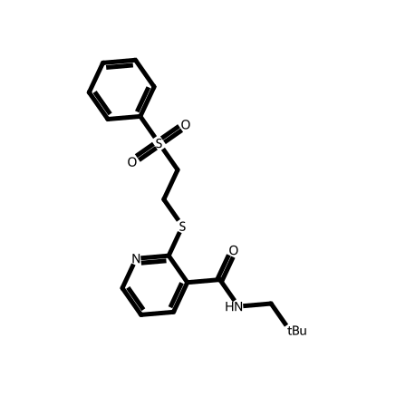 CC(C)(C)CNC(=O)c1cccnc1SCCS(=O)(=O)c1ccccc1